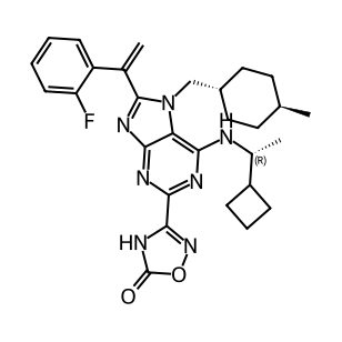 C=C(c1ccccc1F)c1nc2nc(-c3noc(=O)[nH]3)nc(N[C@H](C)C3CCC3)c2n1C[C@H]1CC[C@H](C)CC1